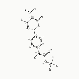 CC(=O)[C@H](C(C)C)N(C)CCc1ccc(N(C)C(=O)OC(C)(C)C)cc1